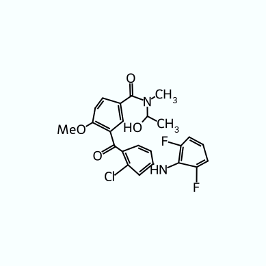 COc1ccc(C(=O)N(C)C(C)O)cc1C(=O)c1ccc(Nc2c(F)cccc2F)cc1Cl